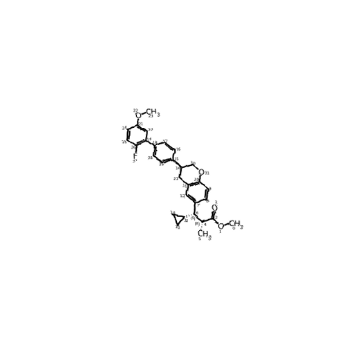 COC(=O)[C@H](C)[C@@H](c1ccc2c(c1)CC(c1ccc(-c3cc(OC)ccc3F)cc1)CO2)C1CC1